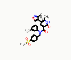 Cc1nocc1-c1cc(C(=O)N(Cc2ccc(S(C)(=O)=O)cc2)c2cccc(C(F)(F)F)c2)c(=O)[nH]c1C